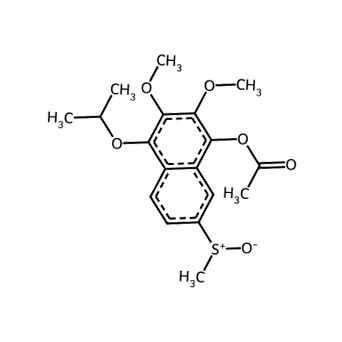 COc1c(OC)c(OC(C)C)c2ccc([S+](C)[O-])cc2c1OC(C)=O